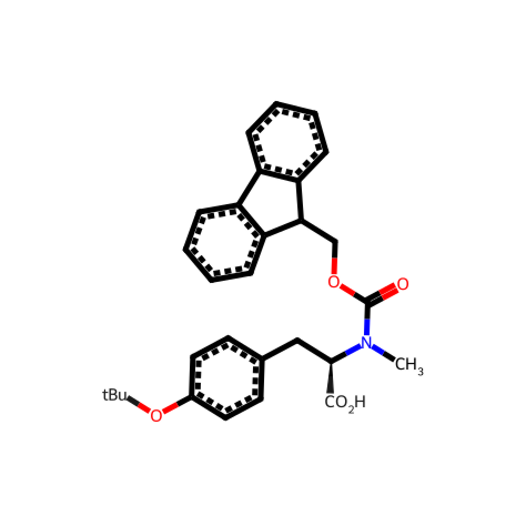 CN(C(=O)OCC1c2ccccc2-c2ccccc21)[C@H](Cc1ccc(OC(C)(C)C)cc1)C(=O)O